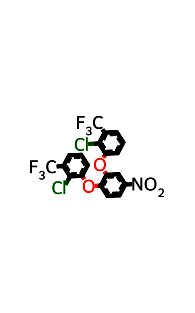 O=[N+]([O-])c1ccc(Oc2cccc(C(F)(F)F)c2Cl)c(Oc2cccc(C(F)(F)F)c2Cl)c1